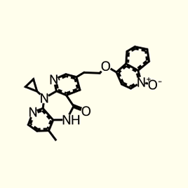 Cc1ccnc2c1NC(=O)c1cc(CCOc3cc[n+]([O-])c4ccccc34)cnc1N2C1CC1